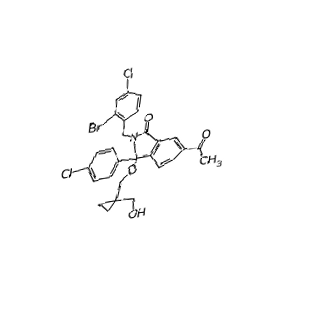 CC(=O)c1ccc2c(c1)C(=O)N(Cc1ccc(Cl)cc1Br)C2(OCC1(CO)CC1)c1ccc(Cl)cc1